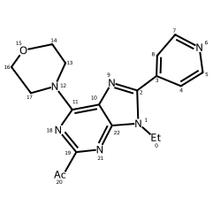 CCn1c(-c2ccncc2)nc2c(N3CCOCC3)nc(C(C)=O)nc21